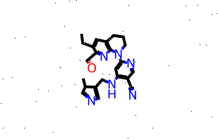 CCc1cc2c(nc1C=O)N(c1cc(NCC3=CN=CC3C)c(C#N)cn1)CCC2